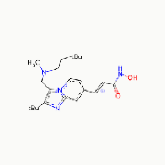 CN(CCC(C)(C)C)Cc1c(C(C)(C)C)nc2cc(/C=C/C(=O)NO)ccn12